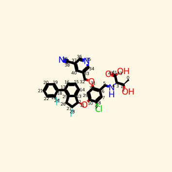 C[C@@H](O)[C@H](NCc1cc(Cl)c(O[C@@H]2c3cccc(-c4ccccc4F)c3C[C@H]2F)cc1OCc1cncc(C#N)c1)C(=O)O